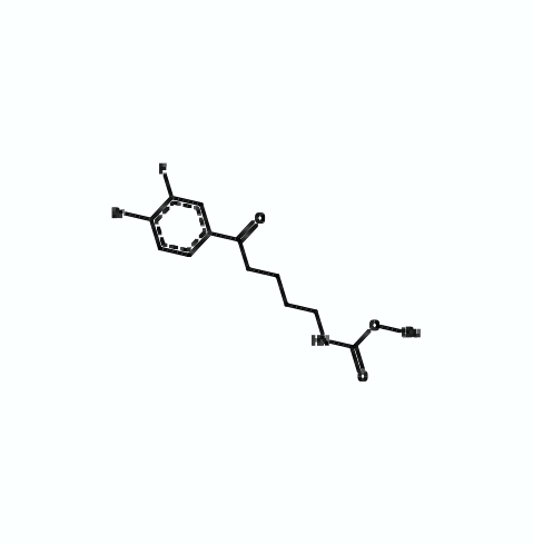 CC(C)(C)OC(=O)NCCCCC(=O)c1ccc(Br)c(F)c1